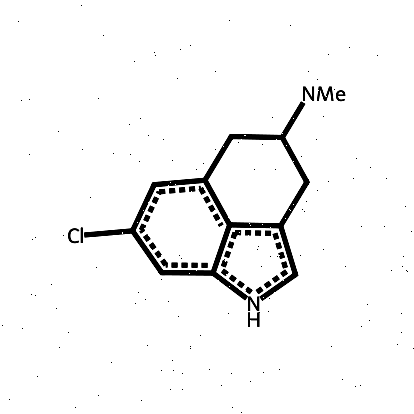 CNC1Cc2c[nH]c3cc(Cl)cc(c23)C1